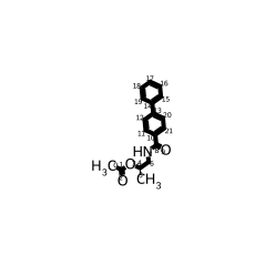 CC(=O)O[C@@H](C)CNC(=O)c1ccc(-c2ccccc2)cc1